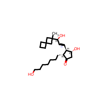 CC1([C@@H](O)/C=C/[C@H]2[C@H](O)CC(=O)[C@@H]2CCCCCCCO)CC2(CCC2)C1